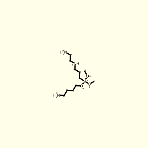 CO[Si](CCCNCCN)(OC)OCCCCN